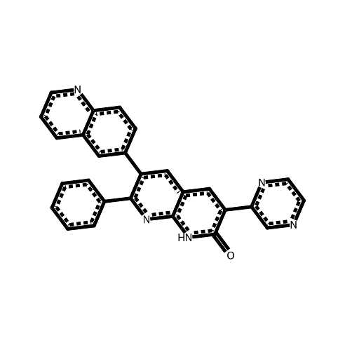 O=c1[nH]c2nc(-c3ccccc3)c(-c3ccc4ncccc4c3)cc2cc1-c1cnccn1